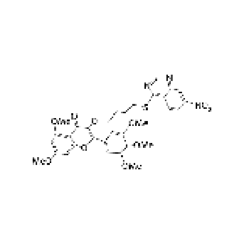 COc1cc(OC)c2c(=O)c(OCCCCSc3ncnc4cc([N+](=O)[O-])ccc34)c(-c3cc(OC)c(OC)c(OC)c3)oc2c1